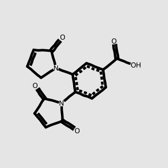 O=C(O)c1ccc(N2C(=O)C=CC2=O)c(N2CC=CC2=O)c1